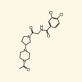 CC(=O)N1CCN(C2CCN(C(=O)CNC(=O)c3ccc(Cl)c(Cl)c3)C2)CC1